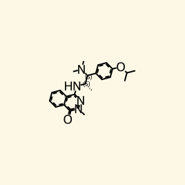 CC(C)Oc1ccc([C@@H]([C@H](C)Nc2nn(C)c(=O)c3ccccc23)N(C)C)cc1